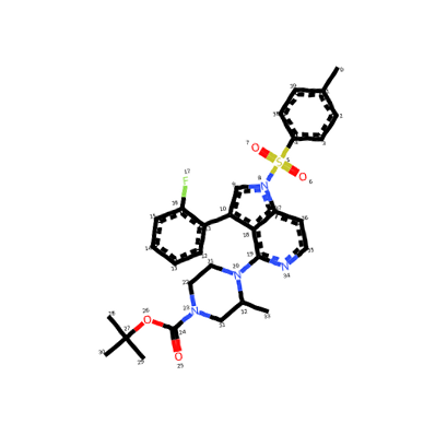 Cc1ccc(S(=O)(=O)n2cc(-c3ccccc3F)c3c(N4CCN(C(=O)OC(C)(C)C)CC4C)nccc32)cc1